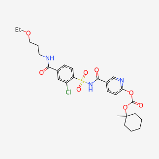 CCOCCCNC(=O)c1ccc(S(=O)(=O)NC(=O)c2ccc(OC(=O)OC3(C)CCCCC3)nc2)c(Cl)c1